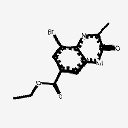 CCOC(=O)c1cc(Br)c2nc(C)c(=O)[nH]c2c1